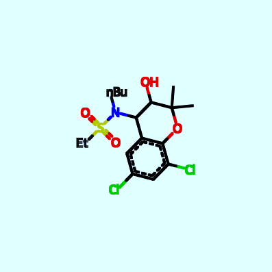 CCCCN(C1c2cc(Cl)cc(Cl)c2OC(C)(C)C1O)S(=O)(=O)CC